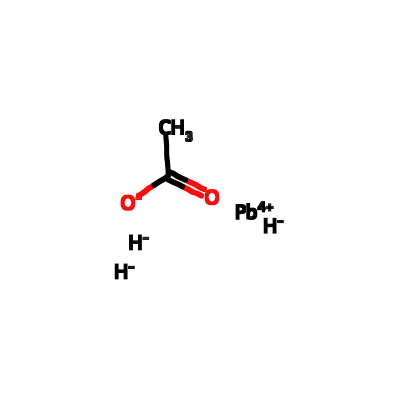 CC(=O)[O-].[H-].[H-].[H-].[Pb+4]